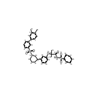 Cc1ccc(-c2cccc(S(=O)(=O)N3CCCC(c4cccc(OC(C)(C)C(=O)NS(=O)(=O)c5ccccc5)c4)C3)c2)cc1C